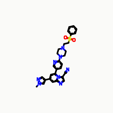 Cn1cc(-c2cc(-c3ccc(N4CCN(CCS(=O)(=O)c5ccccc5)CC4)nc3)n3c(C#N)cnc3c2)cn1